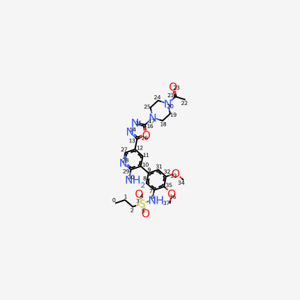 CCCS(=O)(=O)Nc1cc(-c2cc(-c3nnc(N4CCN(C(C)=O)CC4)o3)cnc2N)cc(OC)c1OC